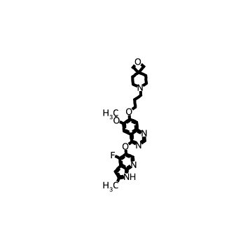 COc1cc2c(Oc3cnc4[nH]c(C)cc4c3F)ncnc2cc1OCCCN1CCC2(CC1)COC2